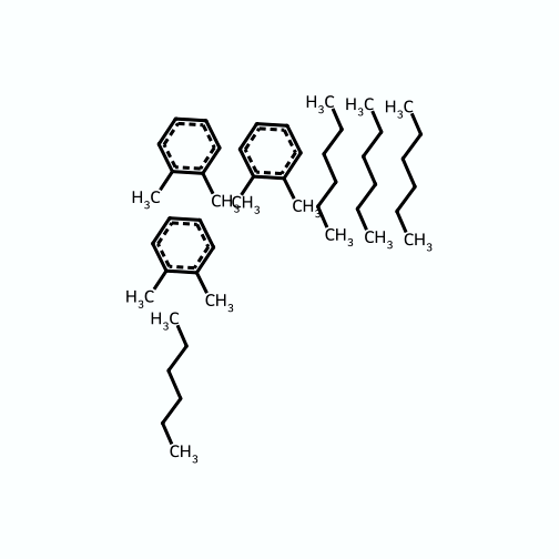 CCCCCC.CCCCCC.CCCCCC.CCCCCC.Cc1ccccc1C.Cc1ccccc1C.Cc1ccccc1C